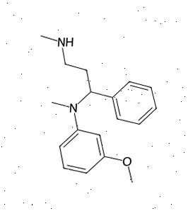 CNCCC(c1ccccc1)N(C)c1cccc(OC)c1